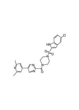 Cc1cc(-c2cnc(C(=O)N3CCN(S(=O)(=O)c4cc5cc(Cl)ccc5[nH]4)CC3)nc2)cc(C)n1